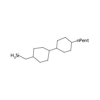 CCCCCC1CCC(C2CCC(C[SiH3])CC2)CC1